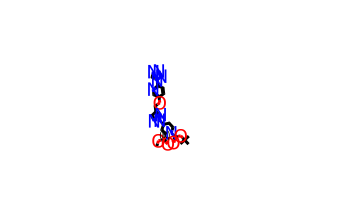 COC(=O)[C@H]1CC(n2ncc(COc3ccc(-n4cnnn4)nc3)n2)CCN1C(=O)OC(C)(C)C